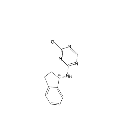 Clc1ncnc(N[C@H]2CCc3ccccc32)n1